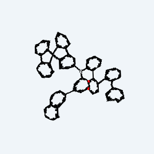 c1ccc(-c2ccccc2-c2ccccc2-c2ccccc2N(c2cccc(-c3ccc4ccccc4c3)c2)c2ccc3c(c2)-c2ccccc2C32c3ccccc3-c3ccccc32)cc1